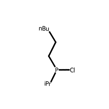 CCCCCCP(Cl)C(C)C